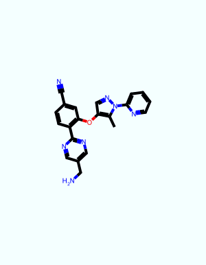 Cc1c(Oc2cc(C#N)ccc2-c2ncc(CN)cn2)cnn1-c1ccccn1